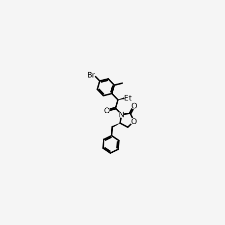 CC[C@@H](C(=O)N1C(=O)OC[C@H]1Cc1ccccc1)c1ccc(Br)cc1C